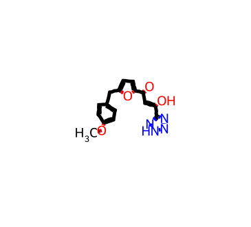 COc1ccc(Cc2ccc(C(=O)C=C(O)c3nn[nH]n3)o2)cc1